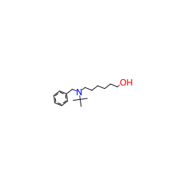 CC(C)(C)N(CCCCCCO)Cc1ccccc1